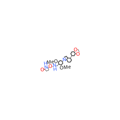 COc1cc(-n2ccc3c(-c4ccc5c(c4)OCCO5)cccc32)cc(OC)c1CNCO[C@H]1CCC(=O)N1